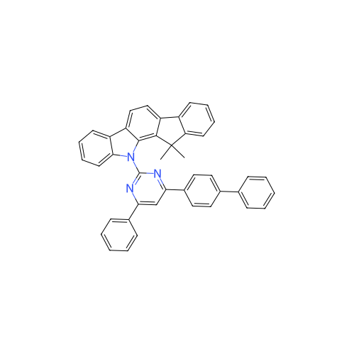 CC1(C)c2ccccc2-c2ccc3c4ccccc4n(-c4nc(-c5ccccc5)cc(-c5ccc(-c6ccccc6)cc5)n4)c3c21